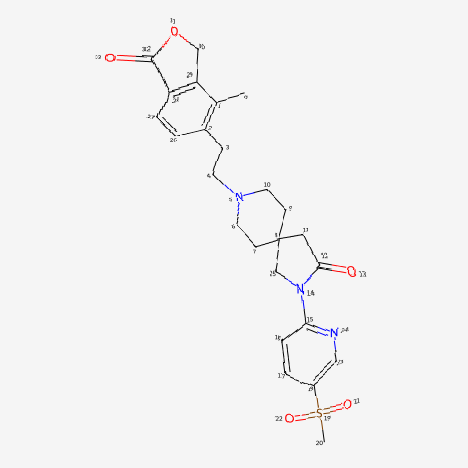 Cc1c(CCN2CCC3(CC2)CC(=O)N(c2ccc(S(C)(=O)=O)cn2)C3)ccc2c1COC2=O